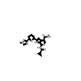 CNC(=O)c1cnc(NC(=O)C2CC2)c2[nH]c(-c3cccc(-c4ncn(C)n4)n3)cc12